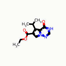 CCOC(=O)c1cn2nc[nH]c(=O)c2c1C(C)C